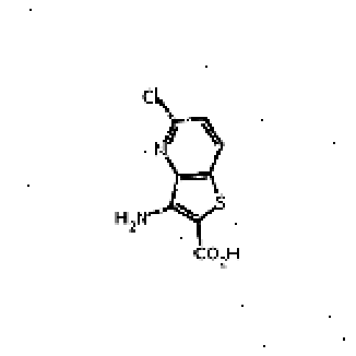 Nc1c(C(=O)O)sc2ccc(Cl)nc12